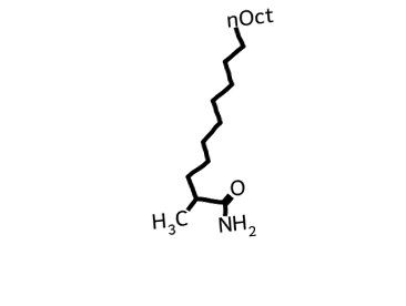 CCCCCCCCCCCCCCCCC(C)C(N)=O